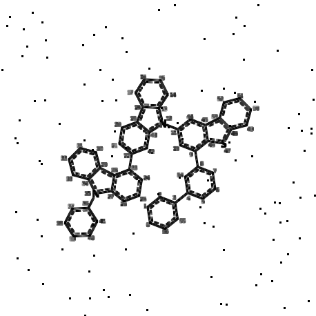 c1ccc(-c2cccc(-c3cc(-n4c5ccccc5c5ccc(-c6cccc7c6c6ccccc6n7-c6ccccc6)cc54)cc4c3sc3ccccc34)c2)cc1